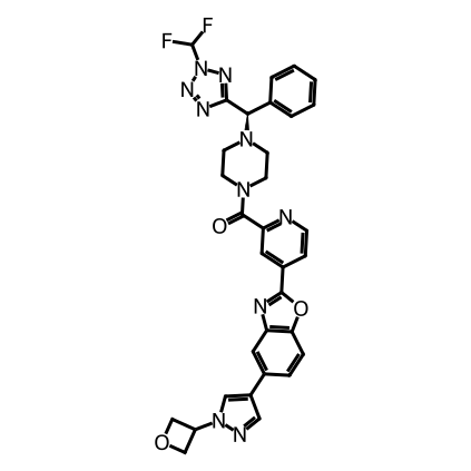 O=C(c1cc(-c2nc3cc(-c4cnn(C5COC5)c4)ccc3o2)ccn1)N1CCN([C@H](c2ccccc2)c2nnn(C(F)F)n2)CC1